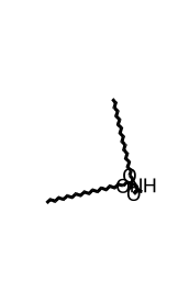 CCCCCCCCCCCCCCCCCCOCC(C)(COCCCCCCCCCCCCCCCCCC)NC(C)=O